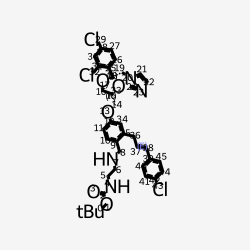 CC(C)(C)OC(=O)NCCNCc1ccc(OC[C@@H]2CO[C@@](Cn3ccnc3)(c3ccc(Cl)cc3Cl)O2)cc1C/C=C/c1ccc(Cl)cc1